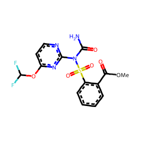 COC(=O)c1ccccc1S(=O)(=O)N(C(N)=O)c1nccc(OC(F)F)n1